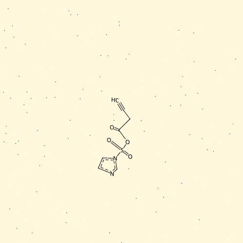 C#CCC(=O)OS(=O)(=O)n1ccnc1